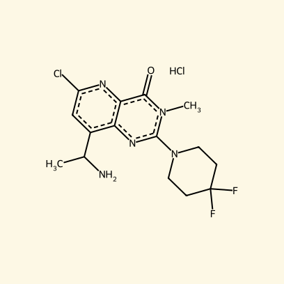 CC(N)c1cc(Cl)nc2c(=O)n(C)c(N3CCC(F)(F)CC3)nc12.Cl